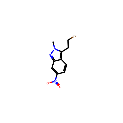 Cn1nc2cc([N+](=O)[O-])ccc2c1CCBr